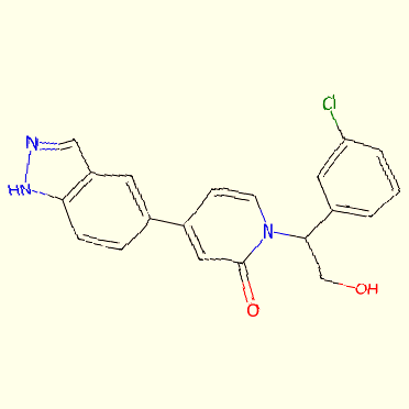 O=c1cc(-c2ccc3[nH]ncc3c2)ccn1C(CO)c1cccc(Cl)c1